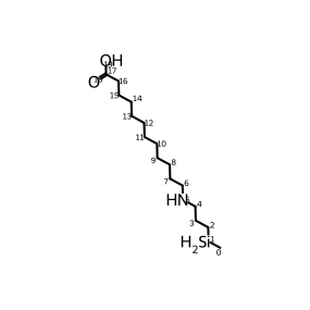 C[SiH2]CCCNCCCCCCCCCCCC(=O)O